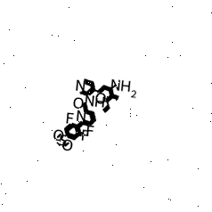 CC[C@H]1O[C@@H](c2ccncc2NC(=O)c2ccc(F)c(-c3c(F)cc(S(C)(=O)=O)cc3F)n2)C[C@@H](N)C1C